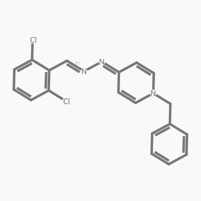 Clc1cccc(Cl)c1/C=N/N=c1ccn(Cc2ccccc2)cc1